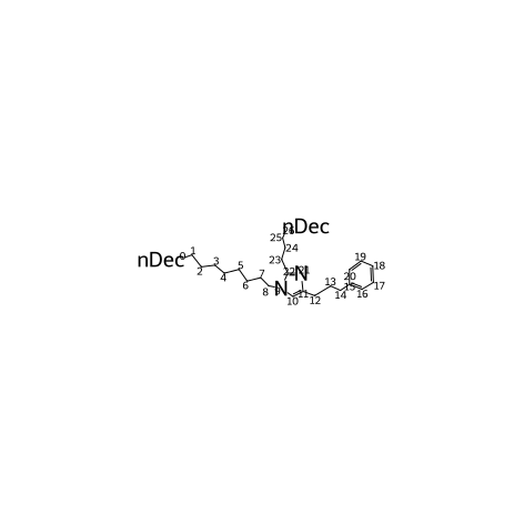 CCCCCCCCCCCCCCCCCCn1cc(CCCc2ccccc2)nc1CCCCCCCCCCCCC